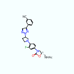 CC(=O)NC[C@H]1CN(c2ccc(N3CCC(n4ncc(-c5cccc(C#N)c5)n4)C3)c(F)c2)C(=O)O1